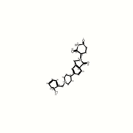 O=C1CCC(N2Cc3cc(C4CCN(Cc5ccccc5Cl)CC4)ccc3C2=O)C(=O)N1